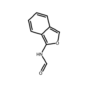 O=CNc1occ2ccccc12